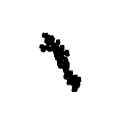 CC(CCC1(C)[C@H](C)CCC2(C)C3CCC4(Cc5cc(=O)n(-c6ccc(Cl)cc6)n5CCN(C)C)CC(=O)C(C(C)C)=C4C3CC[C@@H]21)OC(=O)CC(C)(C)C=O